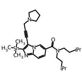 CC(C)CCN(CCC(C)C)C(=O)c1ccc2n[c]([Sn]([CH3])([CH3])[CH3])c(C#CCN3CCCC3)n2c1